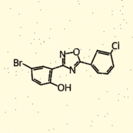 Oc1ccc(Br)cc1-c1noc(-c2cccc(Cl)c2)n1